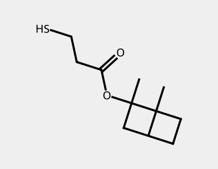 CC1(OC(=O)CCS)CC2CCC21C